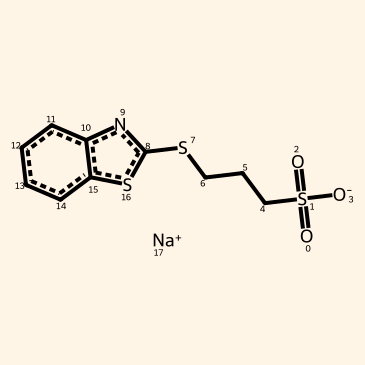 O=S(=O)([O-])CCCSc1nc2ccccc2s1.[Na+]